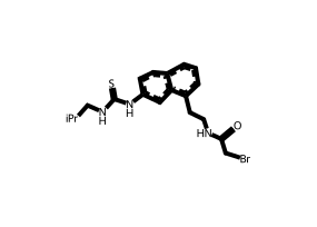 CC(C)CNC(=S)Nc1ccc2cccc(CCNC(=O)CBr)c2c1